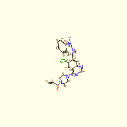 C=CC(=O)N1CCN(c2ncnc3cc(-c4nn(C)c5ccccc45)c(Cl)cc23)CC1